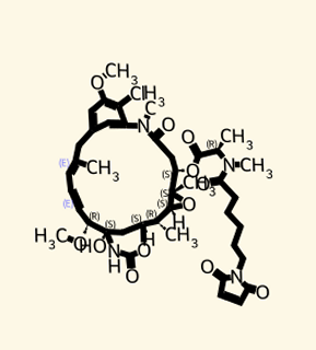 COc1cc2cc(c1Cl)N(C)C(=O)C[C@H](OC(=O)[C@@H](C)N(C)C(=O)CCCCCN1C(=O)C=CC1=O)[C@]1(C)O[C@H]1[C@H](C)[C@@H]1C[C@@](O)(NC(=O)O1)[C@H](OC)/C=C/C=C(\C)C2